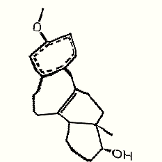 COc1ccc2c(c1)CCC1=C2CC[C@@]2(C)C1CC[C@@H]2O